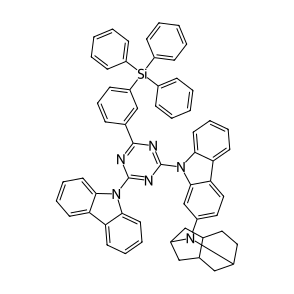 c1ccc([Si](c2ccccc2)(c2ccccc2)c2cccc(-c3nc(-n4c5ccccc5c5ccccc54)nc(-n4c5ccccc5c5ccc(N6C7CCC8CC6CC8C7)cc54)n3)c2)cc1